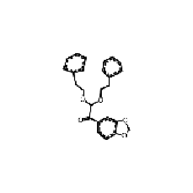 O=C(c1ccc2c(c1)OCO2)C(OCCc1ccccc1)OCCc1ccccc1